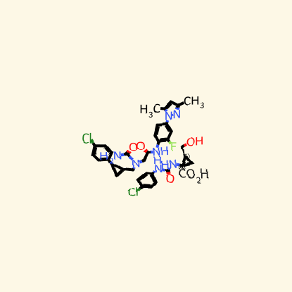 Cc1cc(C)n(-c2ccc(NC(=O)CN(CC3CC3c3ccc(Cl)cc3)C(N)=O)c(F)c2)n1.O=C(Nc1ccc(Cl)cc1)N[C@]1(C(=O)O)C[C@@H]1CO